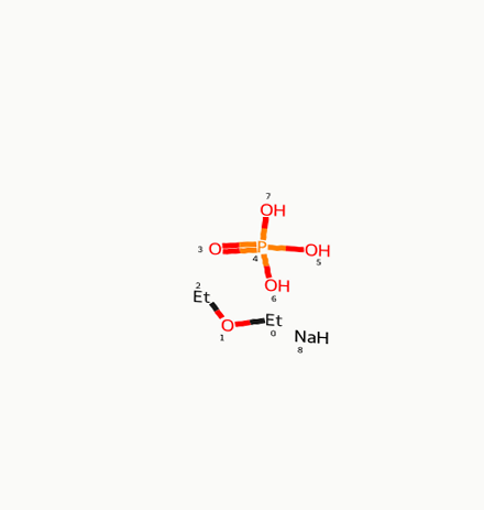 CCOCC.O=P(O)(O)O.[NaH]